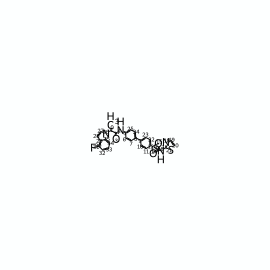 CC(C(=O)Nc1ccc(-c2ccc(S(=O)(=O)Nc3nccs3)cc2)cc1)n1ccc2c(F)cccc21